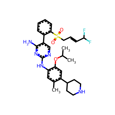 Cc1cc(Nc2ncc(-c3ccccc3S(=O)(=O)CC=CC(F)F)c(N)n2)c(OC(C)C)cc1C1CCNCC1